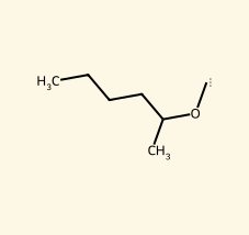 [C]OC(C)CCCC